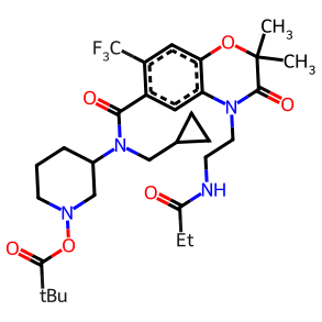 CCC(=O)NCCN1C(=O)C(C)(C)Oc2cc(C(F)(F)F)c(C(=O)N(CC3CC3)C3CCCN(OC(=O)C(C)(C)C)C3)cc21